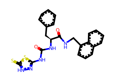 O=C(Nc1n[nH]c(=S)s1)N[C@@H](Cc1ccccc1)C(=O)NCc1cccc2ccccc12